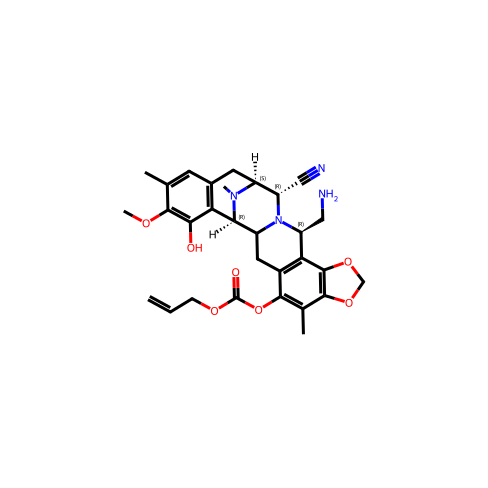 C=CCOC(=O)Oc1c(C)c2c(c3c1CC1[C@H]4c5c(cc(C)c(OC)c5O)C[C@@H]([C@H](C#N)N1[C@H]3CN)N4C)OCO2